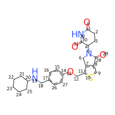 O=C1CCC(N2Cc3c(csc3COc3ccc(CNC4CCCCC4)cc3)C2=O)C(=O)N1